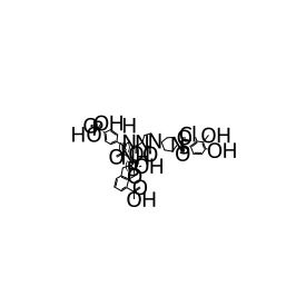 O=C(O)c1cccc2c1OB(O)[C@@H](NC(=O)[C@H](NC(=O)N1CCN(C3CCN(S(=O)(=O)c4ccc(O)c(O)c4Cl)CC3)C1=O)c1ccc(P(=O)(O)O)cc1)C2